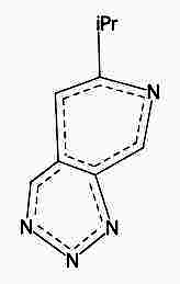 CC(C)c1cc2cnnnc2cn1